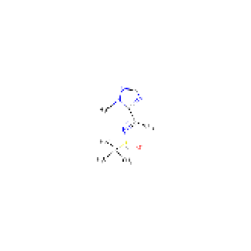 C/C(=N\[S@+]([O-])C(C)(C)C)c1ncnn1C